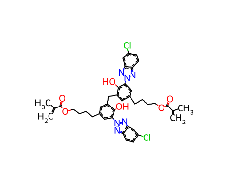 C=C(C)C(=O)OCCCCc1cc(Cc2cc(CCCCOC(=O)C(=C)C)cc(-n3nc4ccc(Cl)cc4n3)c2O)c(O)c(-n2nc3ccc(Cl)cc3n2)c1